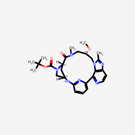 CO[C@H]1CN(C)C(=O)[C@@H]2C[C@@H](CN2C(=O)OC(C)(C)C)Nc2cccc(n2)-c2nccc3nc(C)n(c23)C1